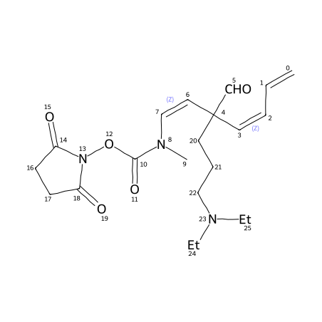 C=C/C=C\C(C=O)(/C=C\N(C)C(=O)ON1C(=O)CCC1=O)CCCN(CC)CC